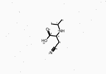 CC(C)NC(CC#N)C(=O)O